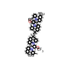 Cc1cccc(N2c3cc(OC(F)(F)F)cc4c3B(c3ccc5ccc(C(C)(C)C)cc5c32)c2ccc3ccc(C(C)(C)CCC(C)(C)c5ccc6ccc7c(c6c5)N(c5ccccc5C)c5cc(OC(F)(F)F)cc6c5B7c5ccc7ccc(C(C)(C)C)cc7c5N6c5ccccc5C)cc3c2N4c2cccc(C)c2)c1